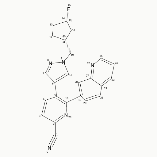 N#Cc1ccc(-c2cnn(C[C@@H]3CC[C@H](F)C3)c2)c(-c2ccc3cccnc3c2)n1